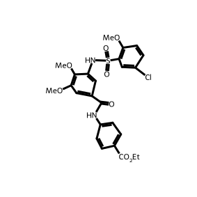 CCOC(=O)c1ccc(NC(=O)c2cc(NS(=O)(=O)c3cc(Cl)ccc3OC)c(OC)c(OC)c2)cc1